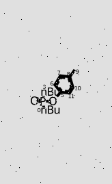 CCCCP(=O)(CCCC)Oc1ccc(C)cc1